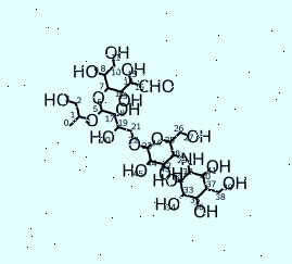 CC(CO)OC(OC(C(O)CO)C(O)C(O)C=O)C(O)C(O)COC1OC(CO)C(NC2C(O)C(O)C(O)C(CO)C2O)C(O)C1O